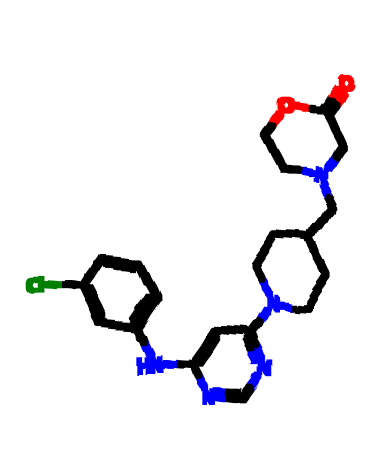 O=C1CN(CC2CCN(c3cc(Nc4cccc(Cl)c4)ncn3)CC2)CCO1